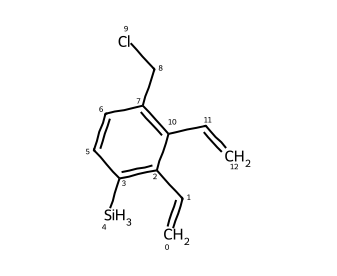 C=Cc1c([SiH3])ccc(CCl)c1C=C